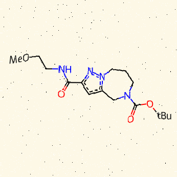 COCCNC(=O)c1cc2n(n1)CCCN(C(=O)OC(C)(C)C)C2